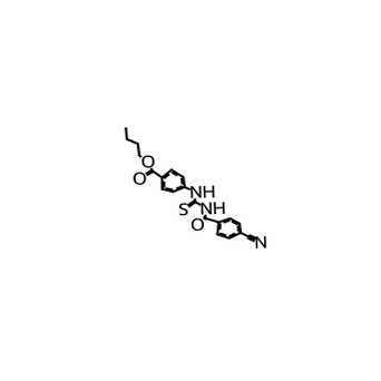 CCCCOC(=O)c1ccc(NC(=S)NC(=O)c2ccc(C#N)cc2)cc1